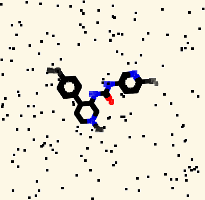 COc1ccc(C2CCN(C(C)=O)CC2NC(=O)Nc2ccc(C(F)(F)F)nc2)cc1